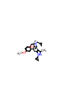 COc1ccc2c(c1)[C@]13CCN(CC4CC4)[C@H](C2)[C@]1(O)Cc1c(C)nn(C2CC2)c1C3